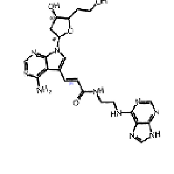 Nc1ncnc2c1c(/C=C/C(=O)NCCNc1ncnc3[nH]cnc13)cn2[C@H]1C[C@@H](O)C(CCO)O1